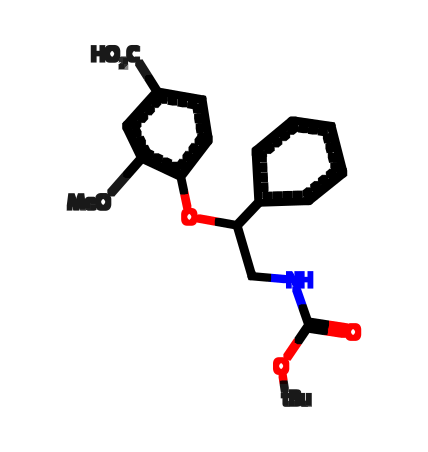 COc1cc(C(=O)O)ccc1OC(CNC(=O)OC(C)(C)C)c1ccccc1